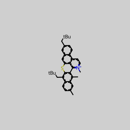 Cc1ccc2c(CC(C)(C)C)c3c(c(C)c2c1)-c1c2c(cc4cc(CC(C)(C)C)ccc4c2cc[n+]1C)S3